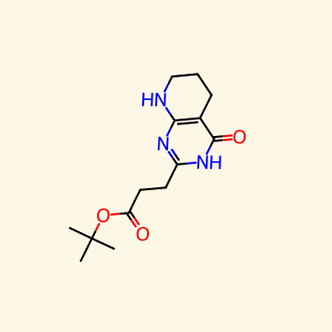 CC(C)(C)OC(=O)CCc1nc2c(c(=O)[nH]1)CCCN2